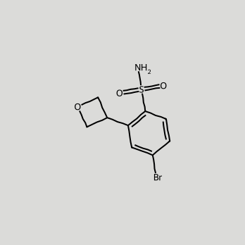 NS(=O)(=O)c1ccc(Br)cc1C1COC1